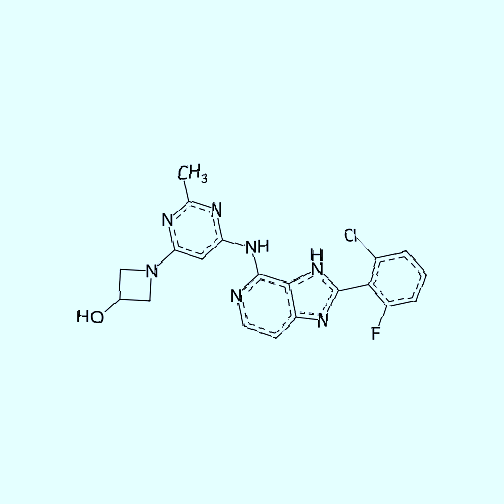 Cc1nc(Nc2nccc3nc(-c4c(F)cccc4Cl)[nH]c23)cc(N2CC(O)C2)n1